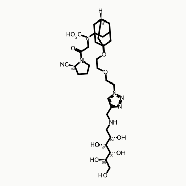 N#C[C@@H]1CCCN1C(=O)CN(C(=O)O)C12CC3C[C@H](CC(OCCOCCn4cc(CNC[C@H](O)[C@@H](O)[C@H](O)[C@H](O)CO)nn4)(C3)C1)C2